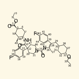 CCOC(=O)[C@H]1CC[C@H](NC(=O)C2(c3ccc(F)cc3)CCN(C(=O)n3c(C)c(CC4CCC(OCC)CC4)c4ccc(F)cc43)CC2)[C@@H](C)C1